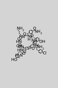 C[C@@H](O)[C@@H]1NC(=O)[C@H](CCCCCN)NC(=O)[C@@H](Cc2ccc(C(N)=O)cc2)NC(=O)[C@H](Cc2ccc(O)cc2)NC(=O)[C@H](NC(=O)[C@@H](N)Cc2ccc(Cl)cc2)CSSC[C@@H](C(=O)N[C@H](Cc2ccc(O)cc2)C(N)=O)N(C)C1=O